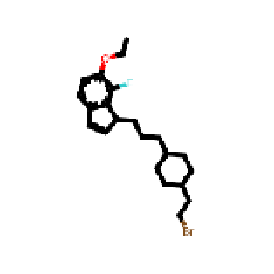 CCOc1ccc2c(c1F)C(CCCC1CCC(CCBr)CC1)C=C2